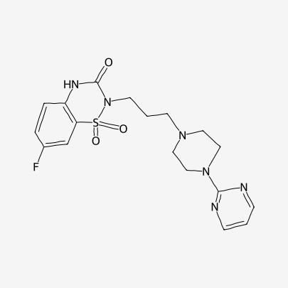 O=C1Nc2ccc(F)cc2S(=O)(=O)N1CCCN1CCN(c2ncccn2)CC1